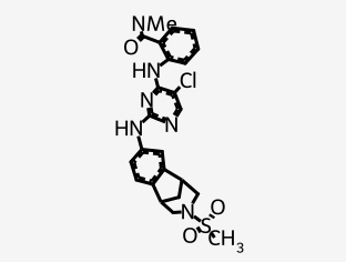 CNC(=O)c1ccccc1Nc1nc(Nc2ccc3c(c2)C2CC3CN(S(C)(=O)=O)C2)ncc1Cl